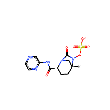 O=C(Nc1cnccn1)[C@@H]1CC[C@@H]2CN1C(=O)N2OS(=O)(=O)O